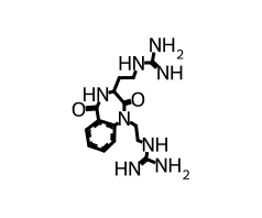 N=C(N)NCCC1NC(=O)c2ccccc2N(CCNC(=N)N)C1=O